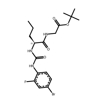 CCC[C@H](NC(=O)Nc1ccc(Br)cc1F)C(=O)NCC(=O)OC(C)(C)C